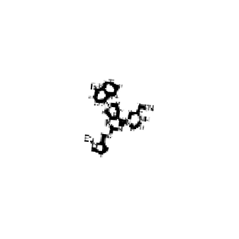 CCN1CCCC1COc1nc2c(c(N3CCNC(CC#N)C3)n1)CCN(c1ccc(F)c3ccccc13)C2